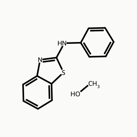 CO.c1ccc(Nc2nc3ccccc3s2)cc1